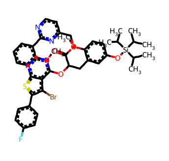 COC(=O)C(Cc1cc(O[Si](C(C)C)(C(C)C)C(C)C)ccc1OCc1ccnc(-c2ccccc2OC)n1)Oc1ncnc2sc(-c3ccc(F)cc3)c(Br)c12